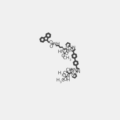 COC(=O)N[C@@H](CCCCNC(=O)OCC1c2ccccc2-c2ccccc21)C(=O)N1CCC[C@H]1c1ncc(-c2ccc(-c3ccc(-c4cnc([C@@H]5CCCN5C(=O)[C@@H](NC(=O)OC)C(C)C)[nH]4)cc3)cc2)[nH]1